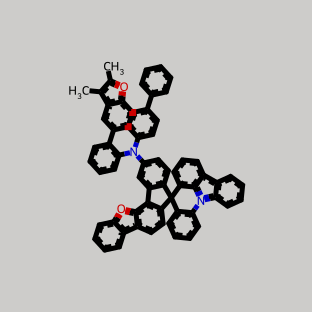 Cc1oc2ccc(-c3ccccc3N(c3ccc(-c4ccccc4)cc3)c3ccc4c(c3)-c3c(ccc5c3oc3ccccc35)C43c4ccccc4-n4c5ccccc5c5cccc3c54)cc2c1C